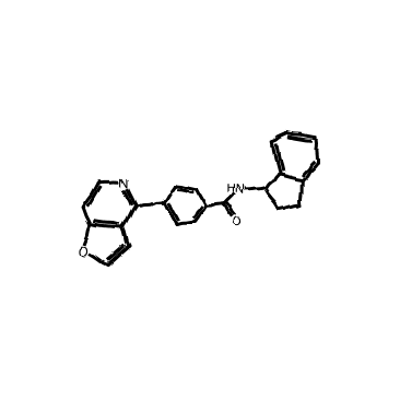 O=C(NC1CCc2ccccc21)c1ccc(-c2nccc3occc23)cc1